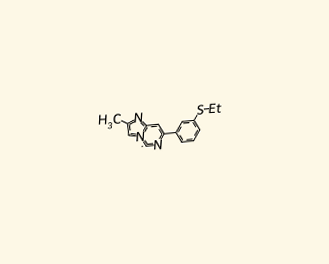 CCSc1cccc(-c2cc3nc(C)cn3[c]n2)c1